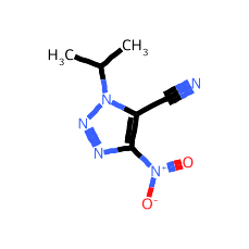 CC(C)n1nnc([N+](=O)[O-])c1C#N